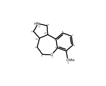 COc1cccc2c1OCCC1CNCC21